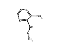 C=CNc1cncnc1N